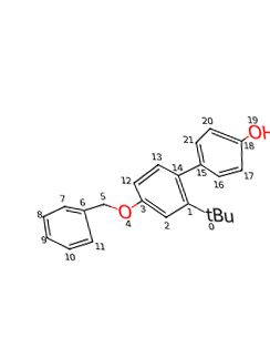 CC(C)(C)c1cc(OCc2ccccc2)ccc1-c1ccc(O)cc1